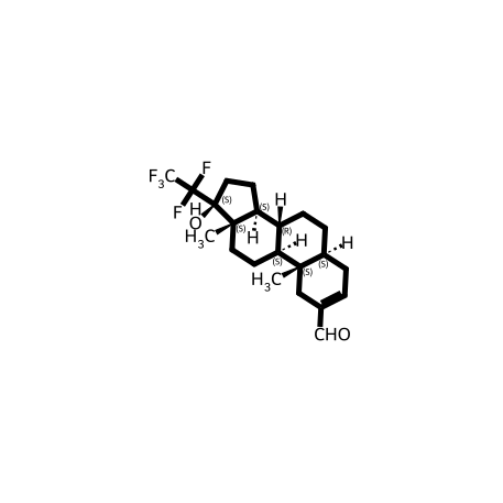 C[C@]12CC(C=O)=CC[C@@H]1CC[C@@H]1[C@@H]2CC[C@@]2(C)[C@H]1CC[C@@]2(O)C(F)(F)C(F)(F)F